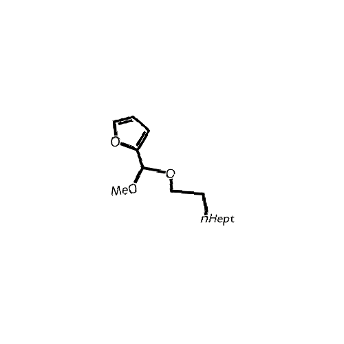 CCCCCCCCCOC(OC)c1ccco1